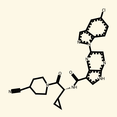 N#CC1CCN(C(=O)[C@H](NC(=O)c2c[nH]c3ncc(-n4ncc5cc(Cl)ccc54)nc23)C2CC2)CC1